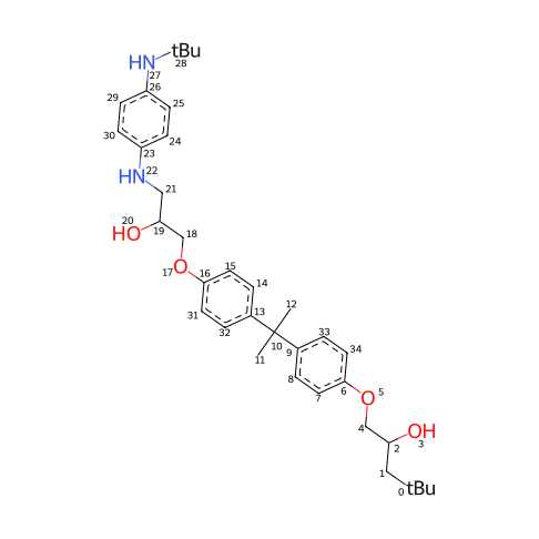 CC(C)(C)CC(O)COc1ccc(C(C)(C)c2ccc(OCC(O)CNc3ccc(NC(C)(C)C)cc3)cc2)cc1